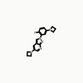 Fc1ccc(N2CCC2)cc1-n1cc2cc(N3CCC3)cnc2n1